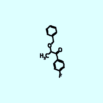 CC(OCc1ccccc1)C(=O)c1ccc(F)cc1